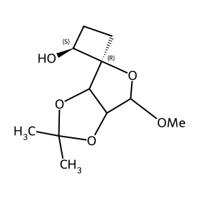 COC1O[C@@]2(CC[C@@H]2O)C2OC(C)(C)OC12